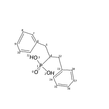 O=P(O)(O)[C](Cc1ccccc1)Cc1ccccc1